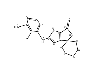 Cc1c(N)ncnc1Nc1cc2c(s1)C(=O)NC21CCCCC1